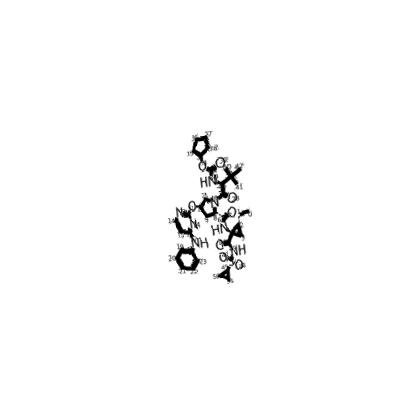 CC[C@@H]1C[C@]1(NC(=O)[C@@H]1C[C@@H](Oc2nccc(Nc3ccccc3)n2)CN1C(=O)[C@@H](NC(=O)OC1CCCC1)C(C)(C)C)C(=O)NS(=O)(=O)C1CC1